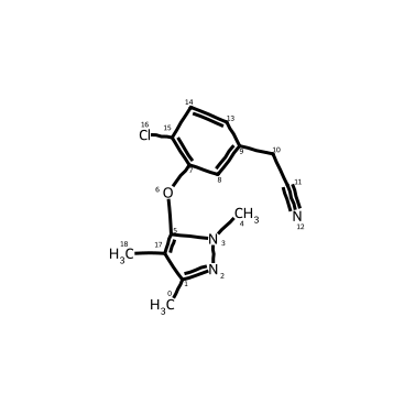 Cc1nn(C)c(Oc2cc(CC#N)ccc2Cl)c1C